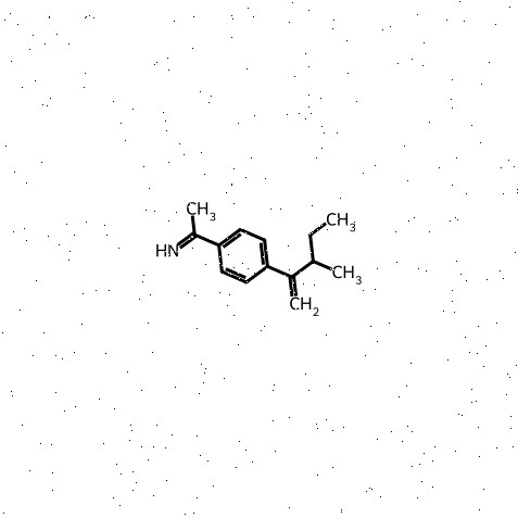 C=C(c1ccc(C(C)=N)cc1)C(C)CC